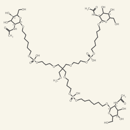 COCC(COCCCOP(=O)(O)OCCCCCCO[C@@H]1OC(CO)[C@H](O)C(O)[C@@H]1NC(C)=O)(COCCCOP(=O)(O)OCCCCCCO[C@@H]1OC(CO)[C@H](O)C(O)[C@@H]1NC(C)=O)COCCCOP(=O)(O)OCCCCCCO[C@@H]1OC(CO)[C@H](O)C(O)[C@@H]1NC(C)=O